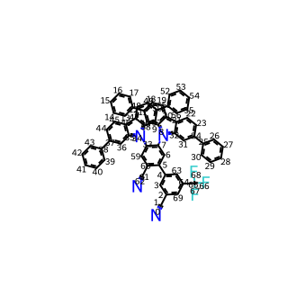 N#Cc1cc(-c2cc(-n3c4cc(-c5ccccc5)ccc4c4ccc(-c5ccccc5)cc43)c(-n3c4cc(-c5ccccc5)ccc4c4ccc(-c5ccccc5)cc43)cc2C#N)cc(C(F)(F)F)c1